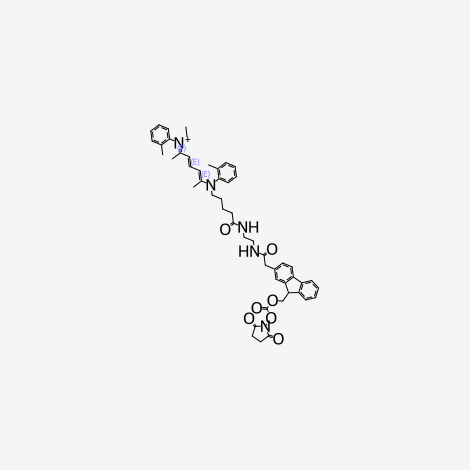 CC\[N+](=C(C)/C=C/C=C(\C)N(CCCCC(=O)NCCNC(=O)Cc1ccc2c(c1)C(COC(=O)ON1C(=O)CCC1=O)c1ccccc1-2)c1ccccc1C)c1ccccc1C